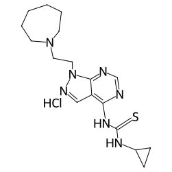 Cl.S=C(Nc1ncnc2c1cnn2CCN1CCCCCC1)NC1CC1